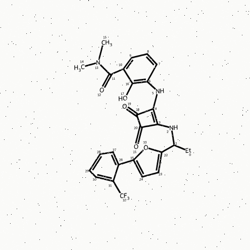 CCC(Nc1c(Nc2cccc(C(=O)N(C)C)c2O)c(=O)c1=O)c1ccc(-c2ccccc2C(F)(F)F)o1